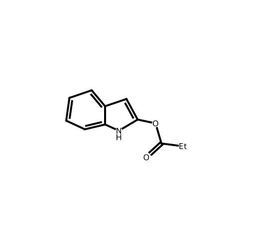 CCC(=O)Oc1cc2ccccc2[nH]1